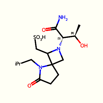 CC(C)CN1C(=O)CCC12CN([C@H](C(N)=O)[C@@H](C)O)C2CS(=O)(=O)O